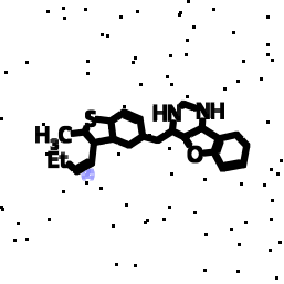 CC/C=C\C1C(C)SC2C=CC(CC3NCNC4C5=C(C=CCC5)OC34)CC21